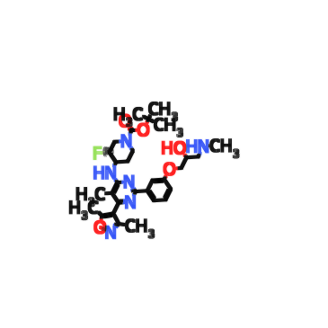 CNCC(O)COc1cccc(-c2nc(NC3CCN(C(=O)OC(C)(C)C)C[C@H]3F)c(C)c(-c3c(C)noc3C)n2)c1